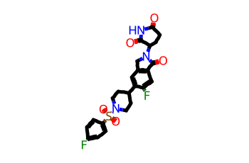 O=C1CCC(N2Cc3cc(C4CCN(S(=O)(=O)c5ccc(F)cc5)CC4)c(F)cc3C2=O)C(=O)N1